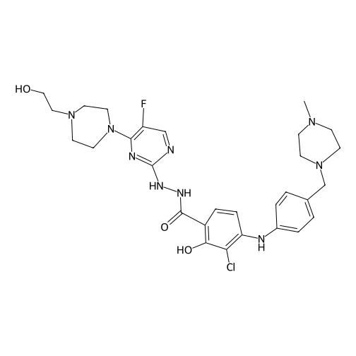 CN1CCN(Cc2ccc(Nc3ccc(C(=O)NNc4ncc(F)c(N5CCN(CCO)CC5)n4)c(O)c3Cl)cc2)CC1